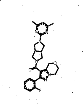 Cc1cc(C)nc(N2CC3CN(C(=O)c4c(-c5ccccc5F)nn5c4COCC5)CC3C2)n1